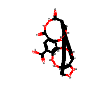 O=C(O)c1cc2c(=O)ooc(=O)c3c4ooc5c1ooc1c4ooc1c3ooc25